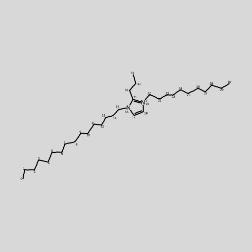 CCCCCCCCCCCCCCCCn1cc[n+](CCCCCCCCCCC)c1CCC